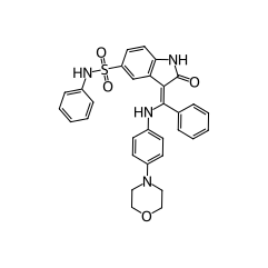 O=C1Nc2ccc(S(=O)(=O)Nc3ccccc3)cc2C1=C(Nc1ccc(N2CCOCC2)cc1)c1ccccc1